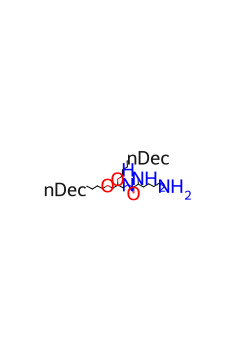 CCCCCCCCCCCCCCOCC(CNC(=O)C(N)CCCCN)OCCCCCCCCCCCCCC